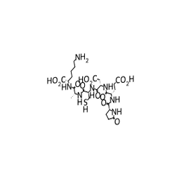 C[C@@H](NC(=O)[C@H](CS)NC(=O)[C@H](CC(=O)O)NC(=O)[C@H](CCC(=O)O)NC(=O)[C@@H]1CCC(=O)N1)C(=O)N[C@@H](CCCCN)C(=O)O